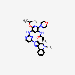 C=CC(=O)Nc1cc(Nc2nccc(-n3cc4c(n3)-c3ccccc3N(C)C4)n2)c(OC(C)C)nc1N1CCOCC1